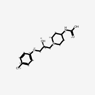 O=C(O)NC1CCN(C[C@H](O)COc2ccc(Cl)cc2)CC1